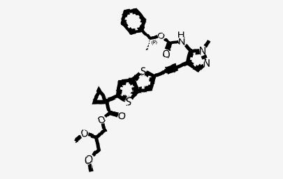 COCC(COC(=O)C1(c2cc3sc(C#Cc4cnn(C)c4NC(=O)O[C@H](C)c4ccccc4)cc3s2)CC1)OC